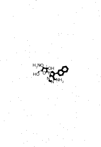 C[C@@]1(O)C(ON)[C@@H](CO)O[C@H]1n1cc(-c2ccc3ccccc3c2)c2c(N)ncnc21